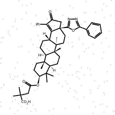 CC(C)C1=C2[C@H]3CC[C@@H]4[C@@]5(C)CC[C@H](OC(=O)CC(C)(C)C(=O)O)C(C)(C)[C@@H]5CC[C@@]4(C)[C@]3(C)CC[C@@]2(c2nnc(-c3ccccc3)o2)CC1=O